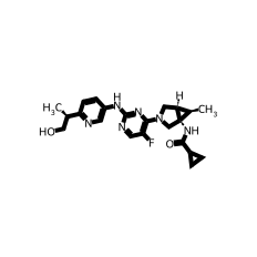 C[C@H](CO)c1ccc(Nc2ncc(F)c(N3C[C@H]4[C@@H](C)[C@@]4(NC(=O)C4CC4)C3)n2)cn1